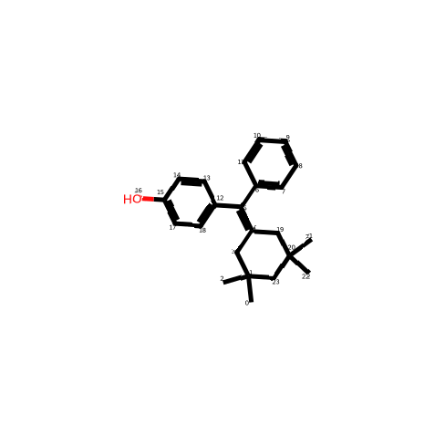 CC1(C)CC(=C(c2cc[c]cc2)c2ccc(O)cc2)CC(C)(C)C1